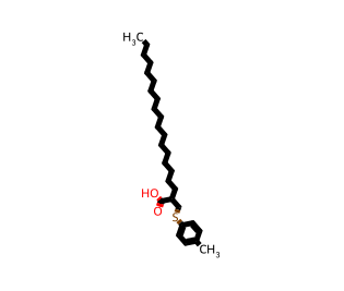 CCCCCCCCCCCCCCCCCCC(CSc1ccc(C)cc1)C(=O)O